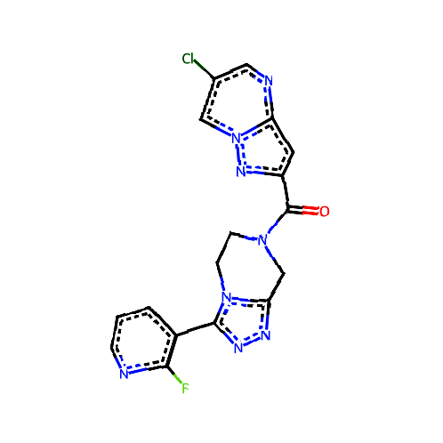 O=C(c1cc2ncc(Cl)cn2n1)N1CCn2c(nnc2-c2cccnc2F)C1